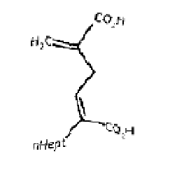 C=C(CC=C(CCCCCCC)C(=O)O)C(=O)O